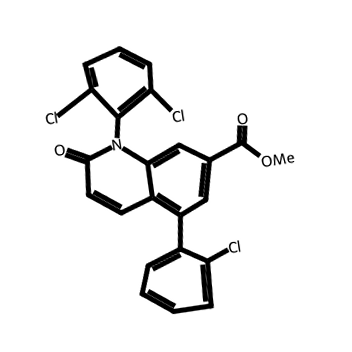 COC(=O)c1cc(-c2ccccc2Cl)c2ccc(=O)n(-c3c(Cl)cccc3Cl)c2c1